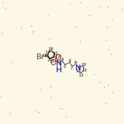 O=S(=O)(NCCCCCN1CCCC1)c1cccc(Br)c1